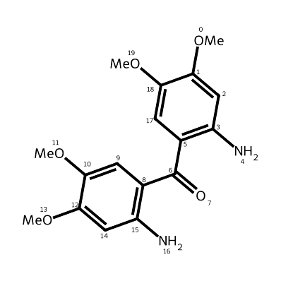 COc1cc(N)c(C(=O)c2cc(OC)c(OC)cc2N)cc1OC